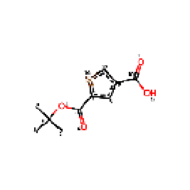 CC(C)(C)OC(=O)c1cc(C(=O)O)cs1